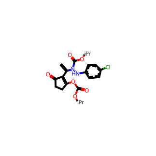 C=C(C1=C(OC(=O)OC(C)C)CCC1=O)N(Nc1ccc(Cl)cc1)C(=O)OC(C)C